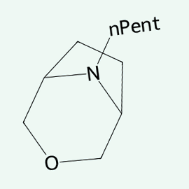 CCCCCN1C2CCC1COC2